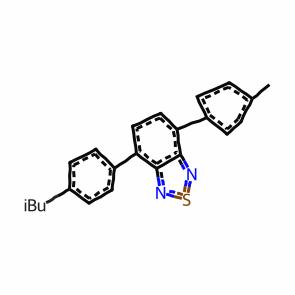 CCC(C)c1ccc(-c2ccc(-c3ccc(C)cc3)c3nsnc23)cc1